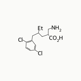 CCC(Cc1cc(Cl)ccc1Cl)CC(CN)C(=O)O